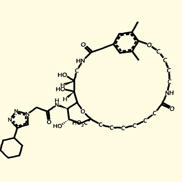 Cc1cc2cc(C)c1OCCCCNC(=O)CCCCCC[C@]1(C(=O)O)C[C@H](O)[C@@H](NC(=O)Cn3cc(C4CCCCC4)nn3)C(O1)[C@H](O)[C@H](O)CNC2=O